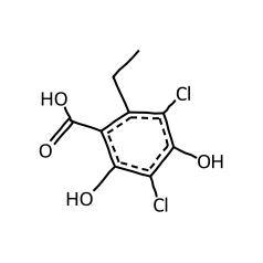 CCc1c(Cl)c(O)c(Cl)c(O)c1C(=O)O